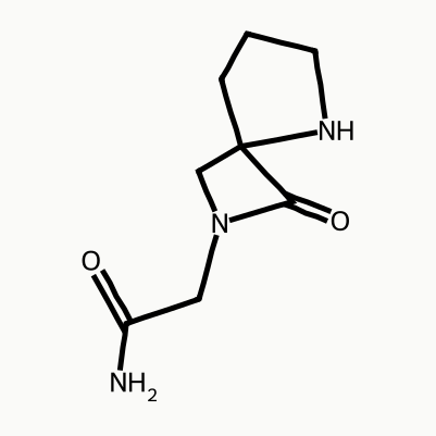 NC(=O)CN1CC2(CCCN2)C1=O